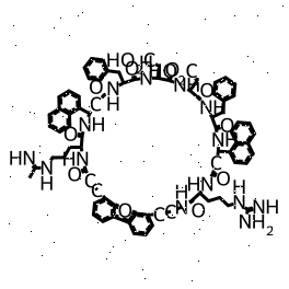 CC(=N)NCCCC1NC(=O)CCc2cccc3c2oc2c(cccc23)CCNC(=O)C(CCCNC(=N)N)NC(=O)CC(c2cccc3ccccc23)NC(=O)C(Cc2ccccc2)NC(=O)C(CC(=O)O)NC(=O)C(CC(=O)O)NC(=O)C(Cc2ccccc2)NC(=O)CC(c2cccc3ccccc23)NC1=O